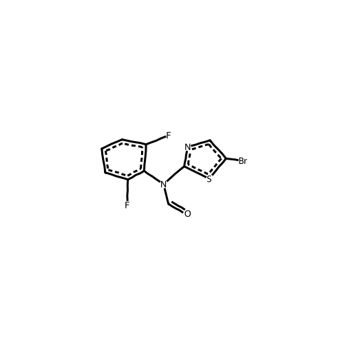 O=CN(c1ncc(Br)s1)c1c(F)cccc1F